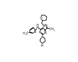 Cc1ccc(Nc2nc(N3CCNCC3)nc3c(C)nn(CC4CCCCO4)c23)nc1